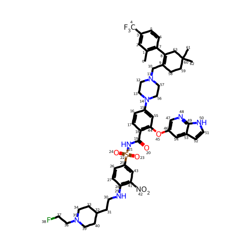 Cc1cc(C(F)(F)F)ccc1C1=C(CN2CCN(c3ccc(C(=O)NS(=O)(=O)c4ccc(NCCC5CCN(CCF)CC5)c([N+](=O)[O-])c4)c(Oc4cnc5[nH]ccc5c4)c3)CC2)CCC(C)(C)C1